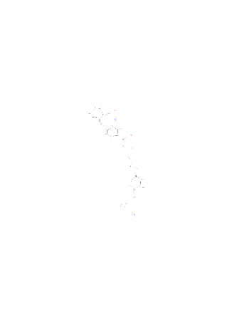 C/C(=C\N=C(/C)c1ccc(OCC(CN(C)C)N=O)cc1)CNC(=O)c1ccc2c(c1)NC(=O)c1ccccc1S2